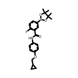 CC1(C)OB(c2ccc(F)c(C(=O)Nc3ccc(OCC4CC4)cc3)c2)OC1(C)C